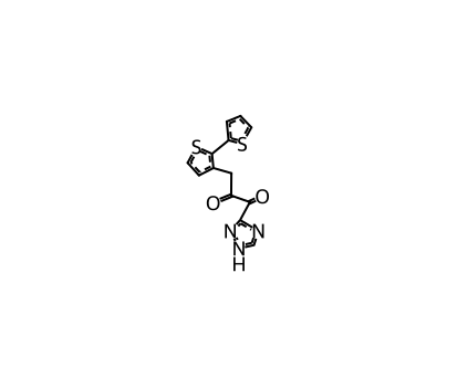 O=C(Cc1ccsc1-c1cccs1)C(=O)c1nc[nH]n1